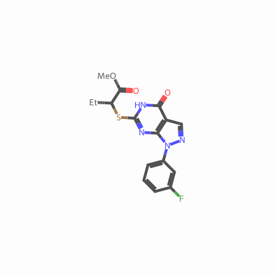 CCC(Sc1nc2c(cnn2-c2cccc(F)c2)c(=O)[nH]1)C(=O)OC